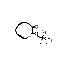 CC(C)(C)COC1CCC=CCCC=CCCC1=O